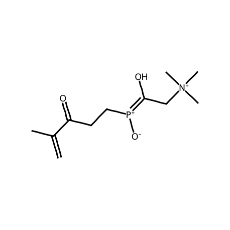 C=C(C)C(=O)CC/[P+]([O-])=C(\O)C[N+](C)(C)C